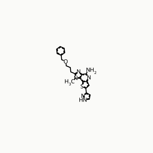 Cn1c(CCCOCc2ccccc2)nc2c(N)nc3cc(-c4cc[nH]n4)sc3c21